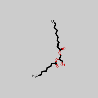 CCCCCCCC=CC(=O)OCC(CO)OC(=O)CCCCCCC